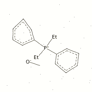 CC[P+](CC)(c1ccccc1)c1ccccc1.C[O-]